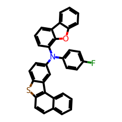 Fc1ccc(N(c2ccc3sc4ccc5ccccc5c4c3c2)c2cccc3c2oc2ccccc23)cc1